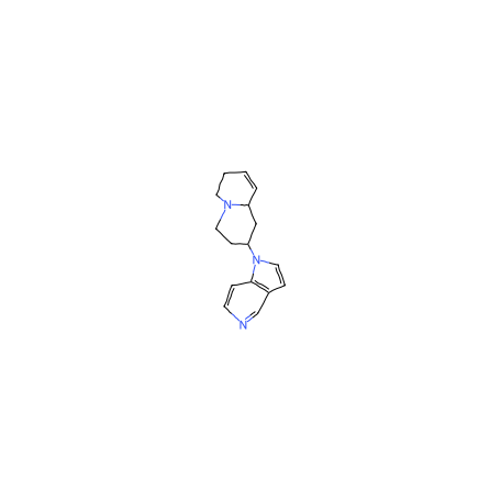 C1=CC2CC(n3ccc4cnccc43)CCN2CC1